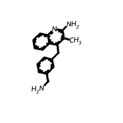 Cc1c(N)nc2ccccc2c1Cc1cccc(CN)c1